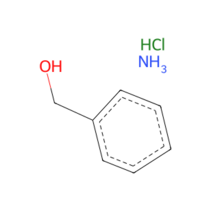 Cl.N.OCc1ccccc1